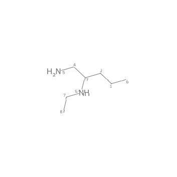 CCCC(CN)NCC